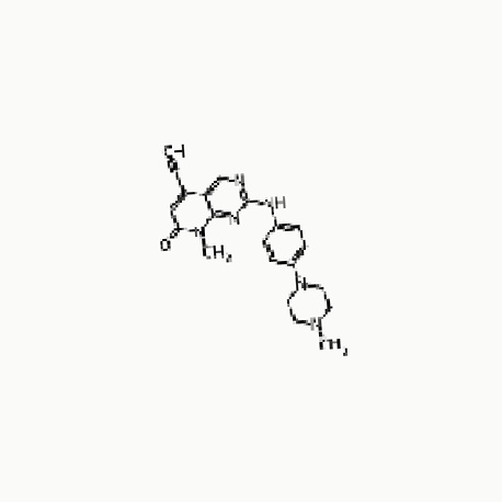 C#Cc1cc(=O)n(C)c2nc(Nc3ccc(N4CCN(C)CC4)cc3)ncc12